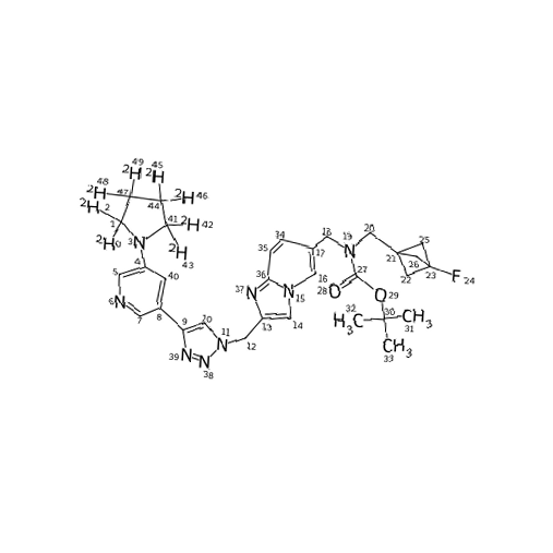 [2H]C1([2H])N(c2cncc(-c3cn(Cc4cn5cc(CN(CC67CC(F)(C6)C7)C(=O)OC(C)(C)C)ccc5n4)nn3)c2)C([2H])([2H])C([2H])([2H])C1([2H])[2H]